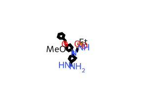 CCS(=O)(=O)NCCN(c1ccc(C(=N)N)cc1)c1ccc(OCc2ccccc2)c(OC)c1